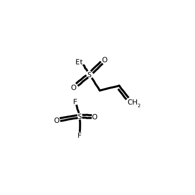 C=CCS(=O)(=O)CC.O=S(=O)(F)F